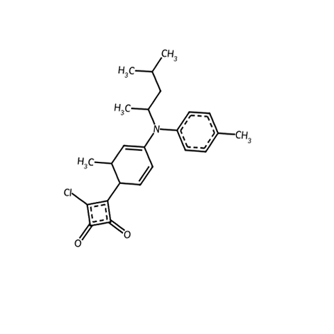 Cc1ccc(N(C2=CC(C)C(c3c(Cl)c(=O)c3=O)C=C2)C(C)CC(C)C)cc1